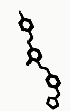 O=c1cc(OCc2ccc(F)cn2)ccn1CCc1ccc(CN2CCCC2)cc1